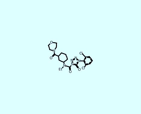 CCN(C(=O)n1nnn(-c2c(Cl)cccc2Cl)c1=O)C1CCCC(C(=O)N2CCOCC2)C1